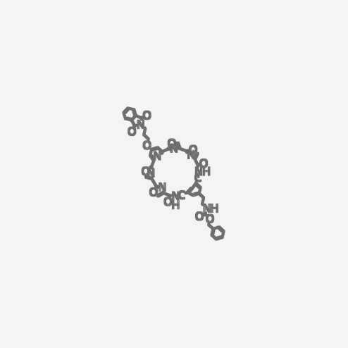 O=C(NCCc1cc2cc(c1)CNC(=O)c1coc(n1)-c1coc(n1)-c1cc(OCCCN3C(=O)c4ccccc4C3=O)cc(n1)-c1nc(co1)-c1nc(co1)C(=O)NC2)OCc1ccccc1